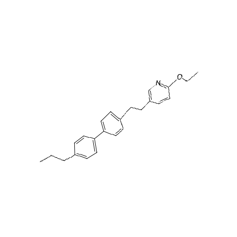 CCCc1ccc(-c2ccc(CCc3ccc(OCC)nc3)cc2)cc1